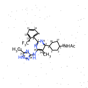 CC(=O)NC1CCC(c2nc(-c3ccccc3C(F)(F)F)nc(Nc3n[nH]c(C)n3)c2C)CC1